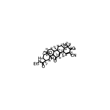 CCNC(=O)[C@@]1(C)CC[C@]2(C)CC[C@@]3(C)[C@]4(C)CC[C@H]5C(C)(C)C(=O)C(C#N)=C[C@]5(C)C4=CC(=O)[C@]3(O)[C@@H]2C1